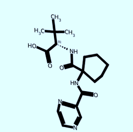 CC(C)(C)[C@H](NC(=O)C1(NC(=O)c2cnccn2)CCCCC1)C(=O)O